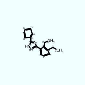 CCc1cccc(-c2n[nH]c(-c3ccccc3)n2)c1CN